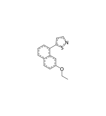 CCOc1ccc2cccc(-c3ccns3)c2c1